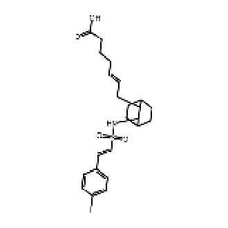 O=C(O)CCC/C=C/CC1C2CCC(CC2)C1NS(=O)(=O)/C=C/c1ccc(I)cc1